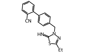 CCc1nn(Cc2ccc(-c3ccccc3C#N)cc2)c(=N)s1